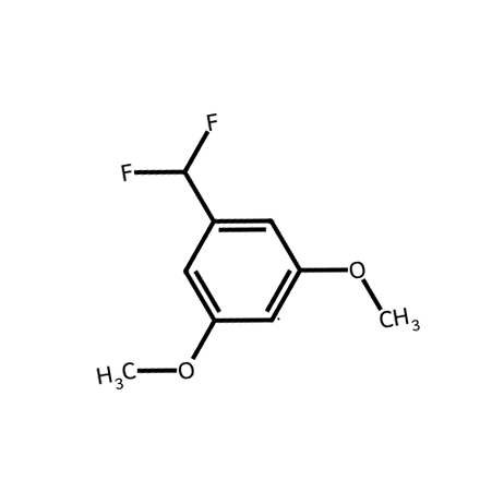 COc1[c]c(OC)cc(C(F)F)c1